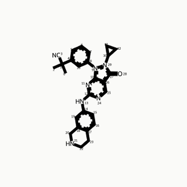 CC(C)(C#N)c1cccc(-n2c3nc(Nc4ccc5c(c4)CNCC5)ncc3c(=O)n2C2CC2)c1